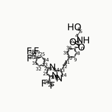 O=S(=O)(NCCO)c1ccc(C#Cc2cnn3c(C(F)F)cc(-c4ccc(C(F)(F)F)cc4)nc23)cc1